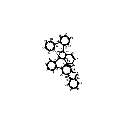 c1c(-c2ccccc2-c2oc(-c3ccccc3-c3ccccc3)c3c2CCC=C3)cc2c(c#1)oc1ccccc12